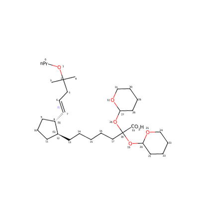 CCCOC(C)(C)C/C=C/[C@H]1CCC[C@@H]1CCCCCC(OC1CCCCO1)(OC1CCCCO1)C(=O)O